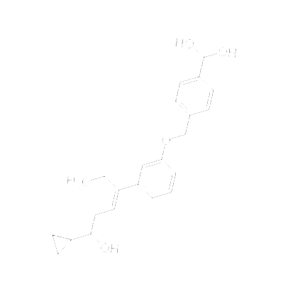 CCC(=CCC(O)C1CC1)c1cccc(OCc2ccc(C(O)O)cc2)c1